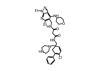 CCc1nc2c(cnn2CC)c(NC2CCOCC2)c1CNC(=O)CC(=O)NCC1(CN2CCNCC2)C=CC(Cl)=C(c2ccccc2)C1